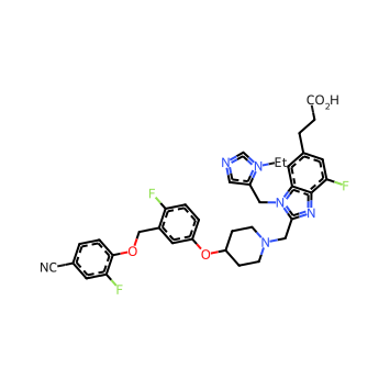 CCn1cncc1Cn1c(CN2CCC(Oc3ccc(F)c(COc4ccc(C#N)cc4F)c3)CC2)nc2c(F)cc(CCC(=O)O)cc21